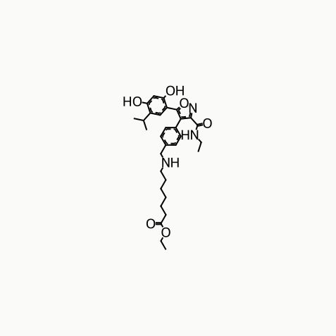 CCNC(=O)c1noc(-c2cc(C(C)C)c(O)cc2O)c1-c1ccc(CNCCCCCCC(=O)OCC)cc1